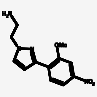 COc1cc([N+](=O)[O-])ccc1-c1ccn(CCN)n1